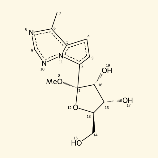 CO[C@@]1(c2ccc3c(C)ncnn23)O[C@H](CO)[C@@H](O)[C@H]1O